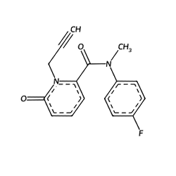 C#CCn1c(C(=O)N(C)c2ccc(F)cc2)cccc1=O